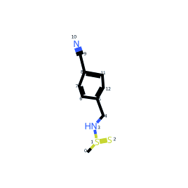 CS(=S)NCc1ccc(C#N)cc1